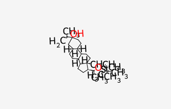 C=C(C)[C@@]1(O)CC[C@H]2[C@H](CC[C@@H]3[C@@H]2CC[C@]2(C)[C@@H](C(C)O[Si](C)(C)C(C)(C)C)CC[C@@H]32)C1